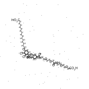 O=C(O)CCCCCCCCCCCCCCCOc1ccc(S(=O)(=O)Nc2ccc(C(=O)NCCOCCOCC(=O)NCCOCCOCC(=O)O)cn2)c(Cl)c1Cl